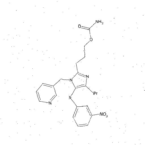 CC(C)c1nc(CCCOC(N)=O)n(Cc2cccnc2)c1Sc1cccc([N+](=O)[O-])c1